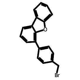 BrCc1ccc(-c2cccc3c2oc2ccccc23)cc1